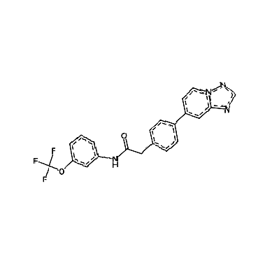 O=C(Cc1ccc(-c2ccn3ncnc3c2)cc1)Nc1cccc(OC(F)(F)F)c1